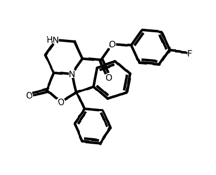 O=C(Oc1ccc(F)cc1)C1CNCC2C(=O)OC(c3ccccc3)(c3ccccc3)N12